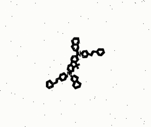 CC1(C)c2cc(N(c3ccc(/C=C/c4ccccc4)cc3)c3ccc4ccccc4c3)ccc2-c2ccc(N(c3ccc(/C=C/c4ccccc4)cc3)c3ccc4ccccc4c3)cc21